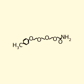 Cc1ccc(OCCOCCOCCOCC(N)=O)cc1